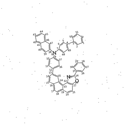 c1ccc(-c2ccc(N(c3ccc(-c4ccc5ccc6ccc7oc(-c8ccccc8)nc7c6c5c4)cc3)c3ccc4ccccc4c3)cc2)cc1